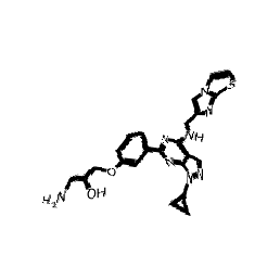 NCC(O)COc1cccc(-c2nc(NCc3cn4ccsc4n3)c3cnn(C4CC4)c3n2)c1